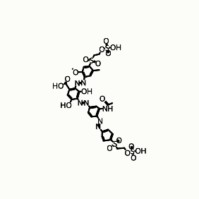 COc1cc(S(=O)(=O)CCOS(=O)(=O)O)c(C)cc1N=Nc1c(C(=O)O)cc(O)c(N=Nc2ccc(N=Nc3ccc(S(=O)(=O)CCOS(=O)(=O)O)cc3)c(NC(C)=O)c2)c1O